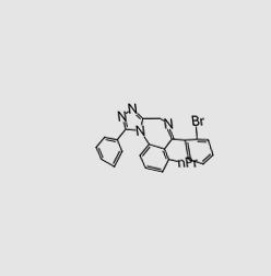 CCCc1cccc2c1C(c1ccccc1Br)=NCc1nnc(-c3ccccc3)n1-2